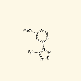 COc1cccc(-n2nnnc2C(F)(F)F)c1